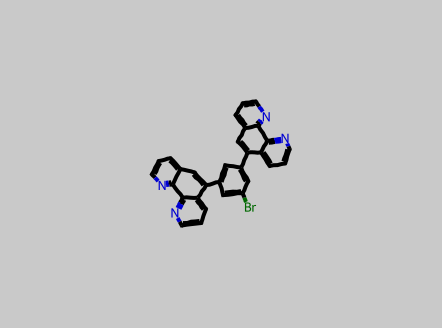 Brc1cc(-c2cc3cccnc3c3ncccc23)cc(-c2cc3cccnc3c3ncccc23)c1